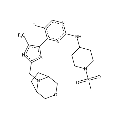 CS(=O)(=O)N1CCC(Nc2ncc(F)c(-c3sc(CN4C5CCC4COC5)nc3C(F)(F)F)n2)CC1